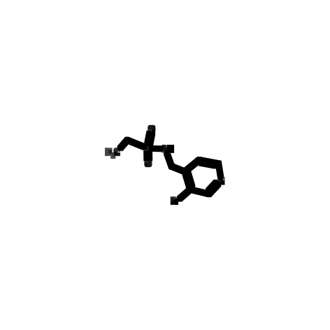 CCS(=O)(=O)NCc1ccncc1Br